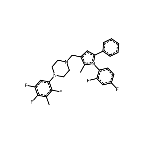 Cc1c(F)c(F)cc(N2CCN(Cc3cc(-c4ccccc4)n(-c4ccc(F)cc4F)c3C)CC2)c1F